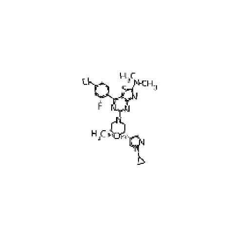 C[C@@H]1CN(c2nc(-c3ccc(Cl)cc3F)c3sc(N(C)C)nc3n2)C[C@H](c2cnn(C3CC3)c2)O1